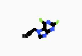 C#CCn1cnc2nc(F)nc(F)c21